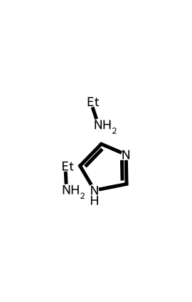 CCN.CCN.c1c[nH]cn1